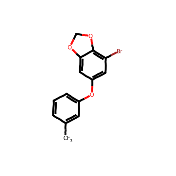 FC(F)(F)c1cccc(Oc2cc(Br)c3c(c2)OCO3)c1